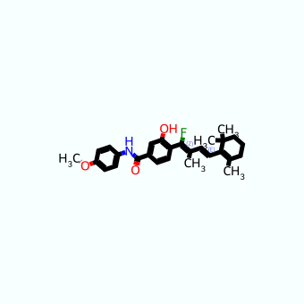 COc1ccc(NC(=O)c2ccc(/C(F)=C(C)/C=C/C3=C(C)CCCC3(C)C)c(O)c2)cc1